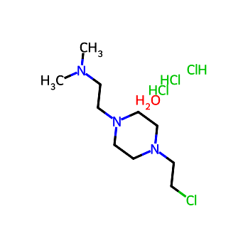 CN(C)CCN1CCN(CCCl)CC1.Cl.Cl.Cl.O